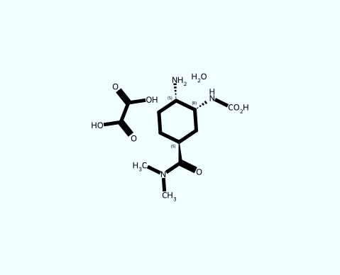 CN(C)C(=O)[C@H]1CC[C@H](N)[C@H](NC(=O)O)C1.O.O=C(O)C(=O)O